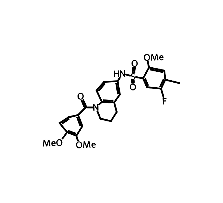 COc1ccc(C(=O)N2CCCc3cc(NS(=O)(=O)c4cc(F)c(C)cc4OC)ccc32)cc1OC